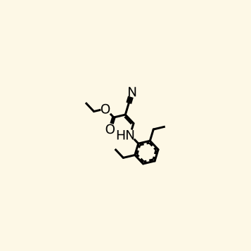 CCOC(=O)C(C#N)=CNc1c(CC)cccc1CC